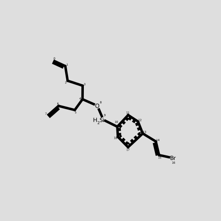 C=CCCC(CC=C)O[SiH2]c1ccc(C=CBr)cc1